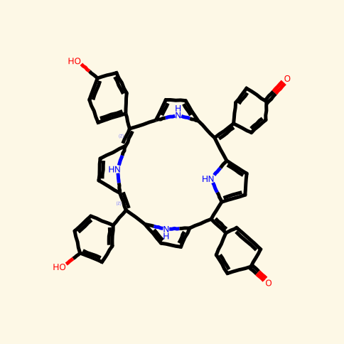 O=C1C=CC(=C2c3ccc([nH]3)C(=C3C=CC(=O)C=C3)c3ccc([nH]3)/C(c3ccc(O)cc3)=c3/cc/c([nH]3)=C(\c3ccc(O)cc3)c3ccc2[nH]3)C=C1